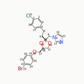 Clc1ccc(CC[C@@]2(Cn3ccnc3)OC[C@@H](COc3ccc(Br)cc3)O2)cc1